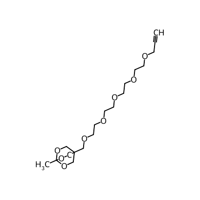 C#CCOCCOCCOCCOCCOCC12COC(C)(OC1)OC2